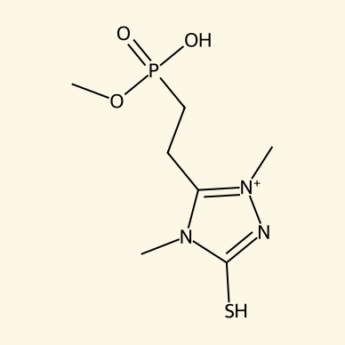 COP(=O)(O)CCc1n(C)c(S)n[n+]1C